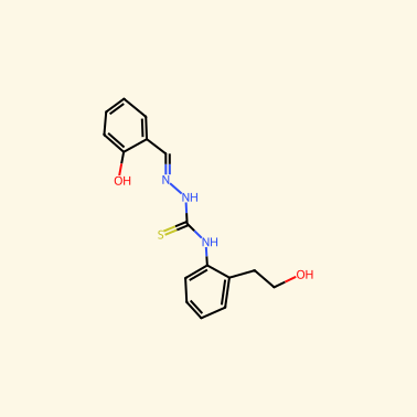 OCCc1ccccc1NC(=S)N/N=C/c1ccccc1O